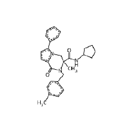 Cc1ccc(CN2C(=O)c3ccc(-c4ccccc4)n3CC2(C)C(=O)NC2CCCC2)cc1